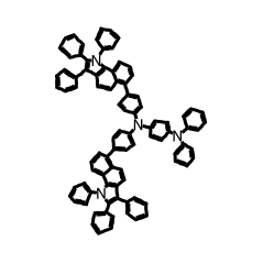 c1ccc(-c2c(-c3ccccc3)n(-c3ccccc3)c3c2ccc2c(-c4ccc(N(c5ccc(-c6cccc7c6ccc6c(-c8ccccc8)c(-c8ccccc8)n(-c8ccccc8)c67)cc5)c5ccc(N(c6ccccc6)c6ccccc6)cc5)cc4)cccc23)cc1